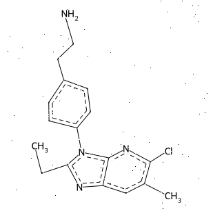 CCc1nc2cc(C)c(Cl)nc2n1-c1ccc(CCN)cc1